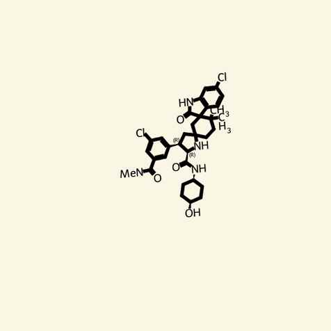 CNC(=O)c1cc(Cl)cc([C@H]2CC3(CCC(C)(C)C4(C3)C(=O)Nc3cc(Cl)ccc34)N[C@H]2C(=O)N[C@H]2CC[C@H](O)CC2)c1